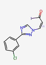 O=C(I)/C=C\n1cnc(-c2cccc(Cl)c2)n1